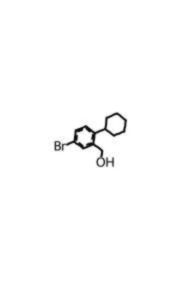 OCc1cc(Br)ccc1C1CCCCC1